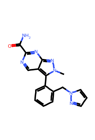 Cn1nc2nc(C(N)=O)ncc2c1-c1ccccc1Cn1cccn1